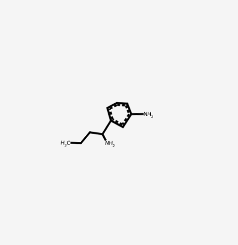 CCCC(N)c1cccc(N)c1